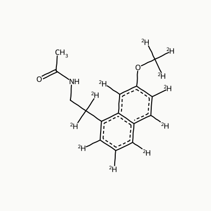 [2H]c1c([2H])c(C([2H])([2H])CNC(C)=O)c2c([2H])c(OC([2H])([2H])[2H])c([2H])c([2H])c2c1[2H]